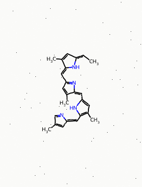 CC=c1cc(C)c(=CC2=NC(=Cc3cc(C)c(C=C4C=C(C)C=N4)[nH]3)C(C)=C2)[nH]1